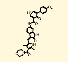 COc1ccc(-c2c[nH]cc(C(=O)Nc3ccc4c(c3)NC(=O)C4=Cc3[nH]c(C)c(C(=O)N4CCOCC4)c3C)c2=O)cc1